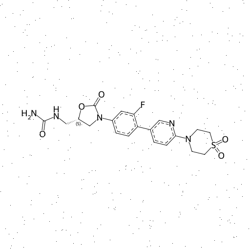 NC(=O)NC[C@H]1CN(c2ccc(-c3ccc(N4CCS(=O)(=O)CC4)nc3)c(F)c2)C(=O)O1